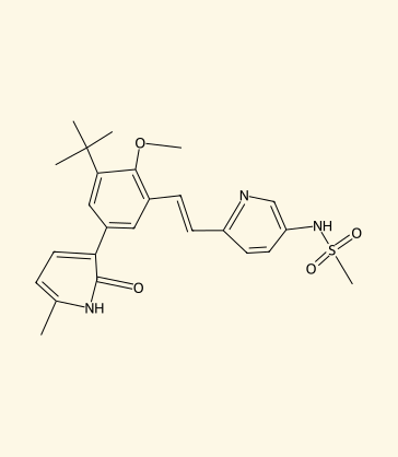 COc1c(C=Cc2ccc(NS(C)(=O)=O)cn2)cc(-c2ccc(C)[nH]c2=O)cc1C(C)(C)C